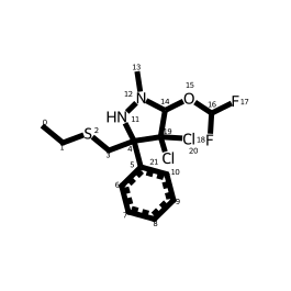 CCSCC1(c2ccccc2)NN(C)C(OC(F)F)C1(Cl)Cl